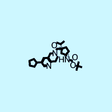 CC(C)[C@]1(C(=O)N2CCc3ncc(C4CCCC4)cc3C2)CC[C@@H](NC(=O)OC(C)(C)C)C1